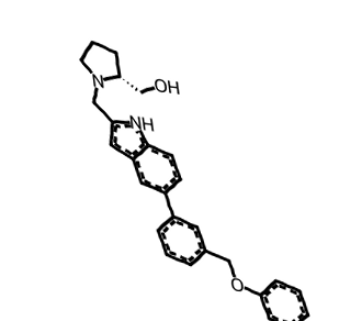 OC[C@H]1CCCN1Cc1cc2cc(-c3cccc(COc4ccccc4)c3)ccc2[nH]1